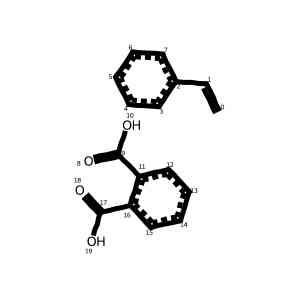 C=Cc1ccccc1.O=C(O)c1ccccc1C(=O)O